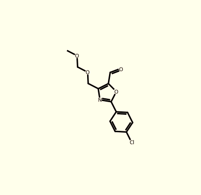 COCOCc1nc(-c2ccc(Cl)cc2)oc1C=O